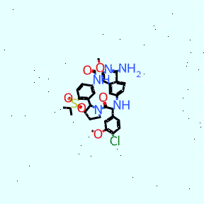 COC(=O)Nc1ccc(S(=O)(=O)C(C)C)c(C2CCCN2C(=O)C(Nc2ccc3c(N)nccc3c2)c2ccc(Cl)c(OC)c2)c1